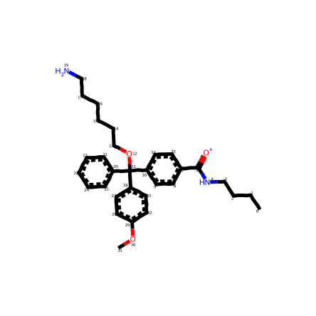 CCCCNC(=O)c1ccc(C(OCCCCCCN)(c2ccccc2)c2ccc(OC)cc2)cc1